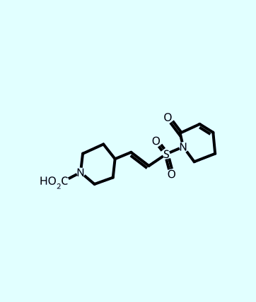 O=C(O)N1CCC(C=CS(=O)(=O)N2CCC=CC2=O)CC1